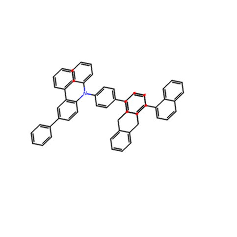 c1ccc(-c2ccc(N(c3ccccc3)c3ccc(-c4ccc(-c5cccc6ccccc56)c5c4C4c6ccccc6C5c5ccccc54)cc3)c(-c3ccccc3)c2)cc1